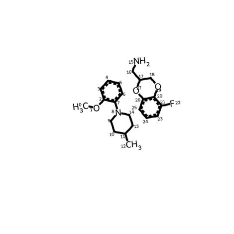 COc1ccccc1N1CCC(C)CC1.NCC1COc2c(F)cccc2O1